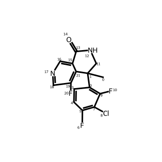 CC1(c2ccc(F)c(Cl)c2F)CNC(=O)c2cncc(F)c21